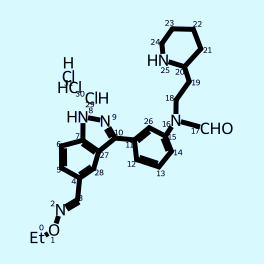 CCON=Cc1ccc2[nH]nc(-c3cccc(N(C=O)CCC4CCCCN4)c3)c2c1.Cl.Cl.Cl